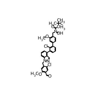 COc1cc(Cn2ncc3c(-c4cccc(-c5ccc(CN(O)C(=O)OC(C)(C)C)c(OC)c5)c4Cl)cccc32)c(Cl)cc1C=O